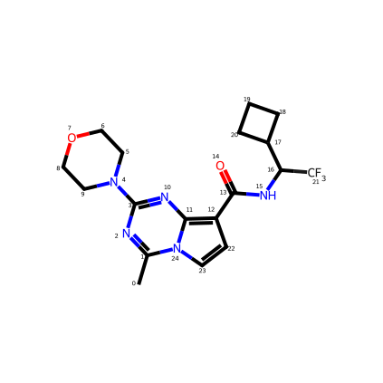 Cc1nc(N2CCOCC2)nc2c(C(=O)NC(C3CCC3)C(F)(F)F)ccn12